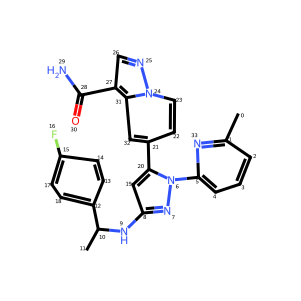 Cc1cccc(-n2nc(NC(C)c3ccc(F)cc3)cc2-c2ccn3ncc(C(N)=O)c3c2)n1